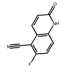 N#Cc1c(F)ccc2[nH]c(=O)ccc12